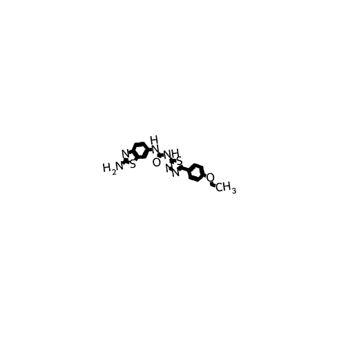 CCOc1ccc(-c2nnc(NC(=O)Nc3ccc4nc(N)sc4c3)s2)cc1